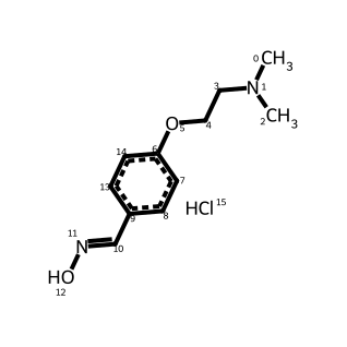 CN(C)CCOc1ccc(C=NO)cc1.Cl